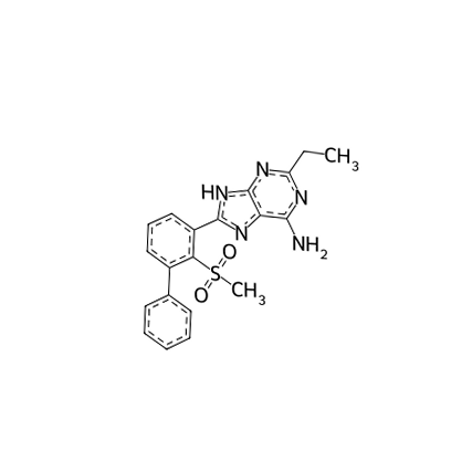 CCc1nc(N)c2nc(-c3cccc(-c4ccccc4)c3S(C)(=O)=O)[nH]c2n1